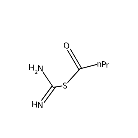 CCCC(=O)SC(=N)N